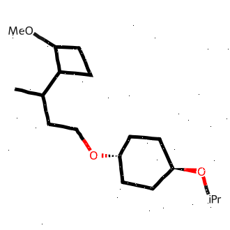 COC1CCC1C(C)CCO[C@H]1CC[C@H](OC(C)C)CC1